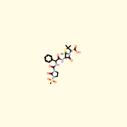 CC1(C)S[C@@H]2[C@H](NC(=O)C(NC(=O)N3CCN(S(C)(=O)=O)C3=O)c3ccccc3)C(=O)N2[C@H]1C(=O)O